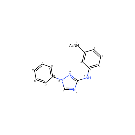 CC(=O)Nc1cccc(Nc2ncn(-c3ccccc3)n2)c1